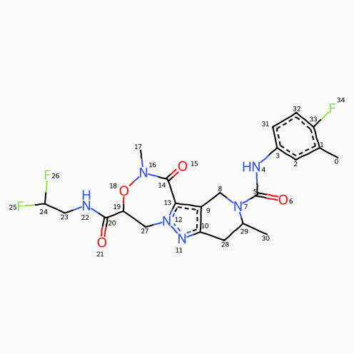 Cc1cc(NC(=O)N2Cc3c(nn4c3C(=O)N(C)OC(C(=O)NCC(F)F)C4)CC2C)ccc1F